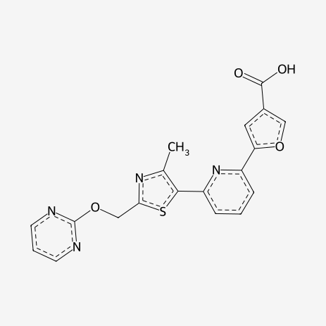 Cc1nc(COc2ncccn2)sc1-c1cccc(-c2cc(C(=O)O)co2)n1